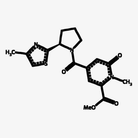 COC(=O)c1cc(C(=O)N2CCC[C@@H]2c2nc(C)cs2)cc(=O)n1C